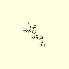 C=CCOC(=O)c1ccc(C(=O)OCC(O)COC(=O)C(=C)C)cc1C(=O)O